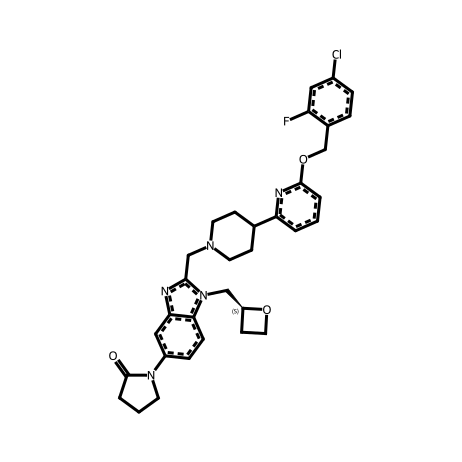 O=C1CCCN1c1ccc2c(c1)nc(CN1CCC(c3cccc(OCc4ccc(Cl)cc4F)n3)CC1)n2C[C@@H]1CCO1